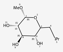 CO[C@@H]1OC(CC(C)C)[C@H](O)[C@@H](O)[C@@H]1O